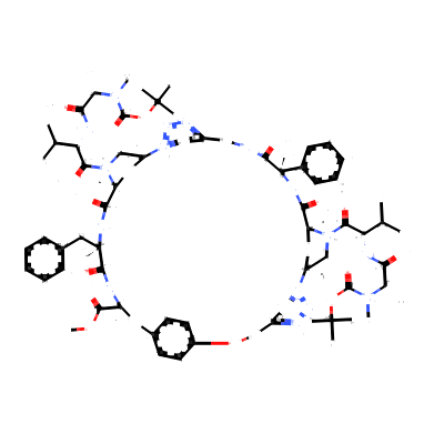 COC(=O)[C@@H]1Cc2ccc(cc2)OCc2cn(nn2)[C@H]2C[C@@H](C(=O)N[C@@H](c3ccccc3)C(=O)NCc3cn(nn3)[C@H]3C[C@@H](C(=O)N[C@@H](Cc4ccccc4)C(=O)N1)N(C(=O)[C@@H](NC(=O)[C@H](C)N(C)C(=O)OC(C)(C)C)C(C)C)C3)N(C(=O)[C@@H](NC(=O)[C@H](C)N(C)C(=O)OC(C)(C)C)C(C)C)C2